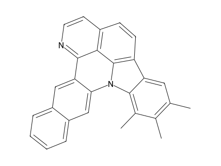 Cc1cc2c3ccc4ccnc5c6cc7ccccc7cc6n(c2c(C)c1C)c3c45